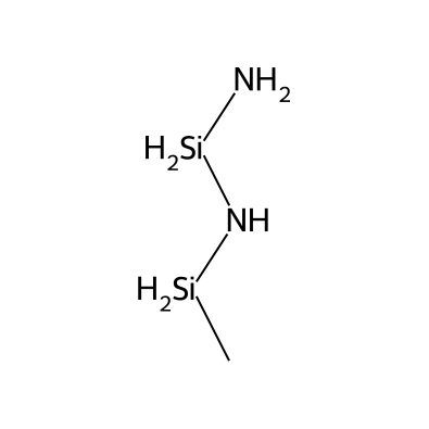 C[SiH2]N[SiH2]N